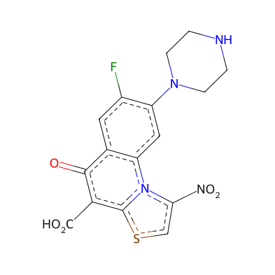 O=C(O)c1c(=O)c2cc(F)c(N3CCNCC3)cc2n2c([N+](=O)[O-])csc12